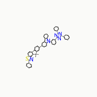 CC1(C)c2cc(-c3ccc4c(c3)c3ccccc3n4-c3cccc(-c4nc(-c5ccccc5)nc(-c5ccccc5)n4)c3)ccc2-c2ccc3sc(-c4ccccc4)nc3c21